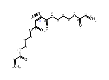 C=CC(=O)OCCCOC(=O)/C=C\C(=O)OCCCOC(=O)C=C.N#N